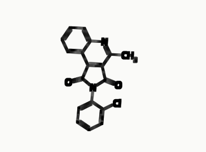 Cc1nc2ccccc2c2c1C(=O)N(c1ccccc1Cl)C2=O